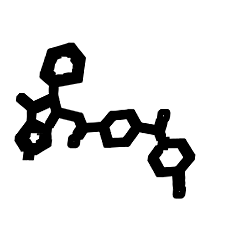 CC1=C(c2ccccc2)C(CC(=O)C2CCC(C(=O)N3CCC(=O)CC3)CC2)n2cncc21